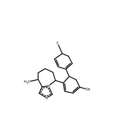 CC1CCCC(C2=CC=C(C#N)CC2C2=CCC(F)C=C2)n2cncc21